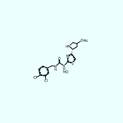 CC(=O)OC1CN[C@@H](c2csc(NC(=O)NCc3ccc(Cl)c(Cl)c3)n2)C1.Cl